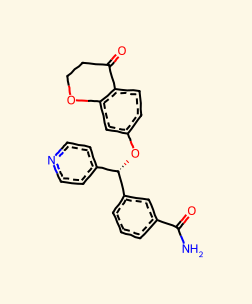 NC(=O)c1cccc([C@@H](Oc2ccc3c(c2)OCCC3=O)c2ccncc2)c1